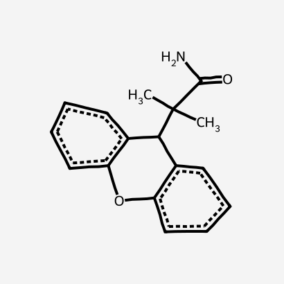 CC(C)(C(N)=O)C1c2ccccc2Oc2ccccc21